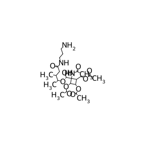 CC(=O)NC1(C(O)OC(C)C(C)CC(=O)NCCCN)C(COC(C)=O)C(OC(C)=O)C1OC(C)=O